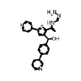 C=C(N/C=N\N)c1sc(-c2ccncc2)cc1C(O)c1ccc(-c2cccnc2)cc1